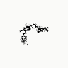 Cc1c(CN2CCC(Nc3ncnc4sc(CC(F)(F)F)cc34)CC2)ccn2c(CCN3CCN(S(C)(=O)=O)CC3)c(C#N)cc12